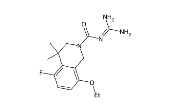 CCOc1ccc(F)c2c1CN(C(=O)N=C(N)N)CC2(C)C